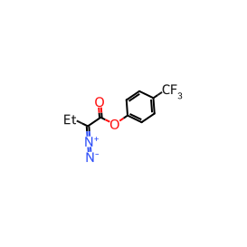 CCC(=[N+]=[N-])C(=O)Oc1ccc(C(F)(F)F)cc1